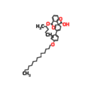 CCCCCCCCCCCCCCOc1ccc(C2=CCC(C(=O)O)(c3ccccc3C(=O)OC(C)CCC)C=C2)cc1